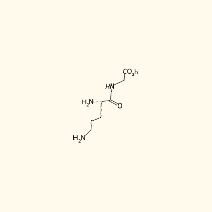 NCCC[C@H](N)C(=O)NCC(=O)O